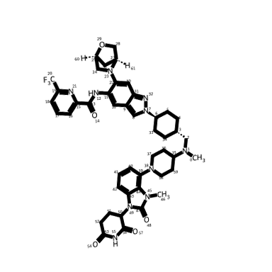 CN(C[C@H]1CC[C@H](n2cc3cc(NC(=O)c4cccc(C(F)(F)F)n4)c(N4C[C@@H]5C[C@H]4CO5)cc3n2)CC1)C1CCN(c2cccc3c2n(C)c(=O)n3C2CCC(=O)NC2=O)CC1